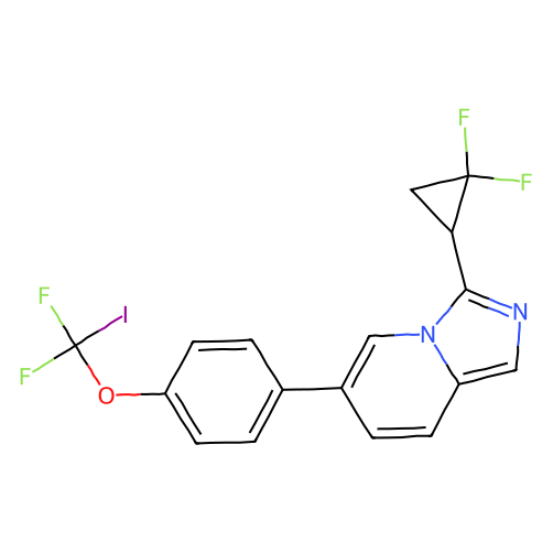 FC(F)(I)Oc1ccc(-c2ccc3cnc(C4CC4(F)F)n3c2)cc1